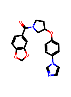 O=C(c1ccc2c(c1)OCO2)N1CCC(Oc2ccc(-n3ccnc3)cc2)C1